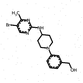 Cc1nc(NC2CCN(c3cccc(CO)c3)CC2)ncc1Br